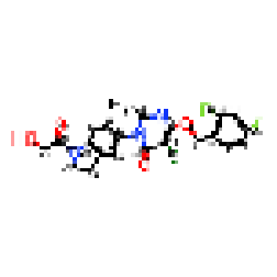 Cc1nc(OCc2ccc(F)cc2F)c(Cl)c(=O)n1-c1ccc2c(c1)CCN2C(=O)CO